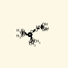 COP(=O)(CCc1cc(CCP(=O)(OC)OC)cc(OCCOCCNC(CO)(CO)CO)c1)OC